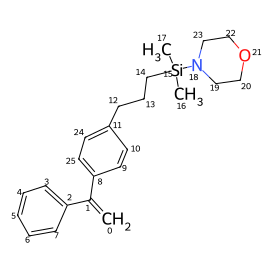 C=C(c1ccccc1)c1ccc(CCC[Si](C)(C)N2CCOCC2)cc1